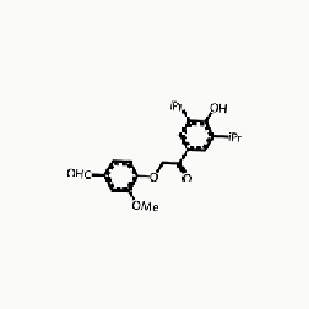 COc1cc(C=O)ccc1OCC(=O)c1cc(C(C)C)c(O)c(C(C)C)c1